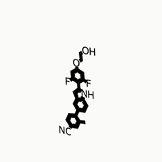 Cc1cc(C#N)ccc1-c1ccc2[nH]c(-c3c(F)cc(OCCO)cc3F)cc2c1